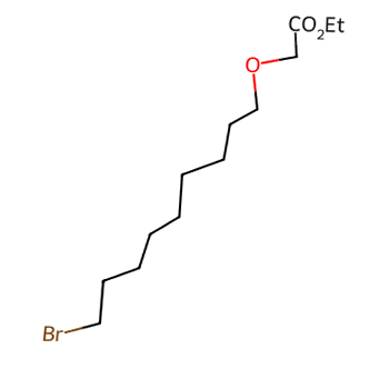 CCOC(=O)COCCCCCCCCCBr